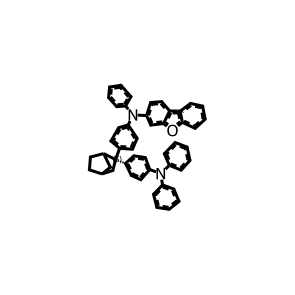 c1ccc(N(c2ccccc2)c2ccc([C@]3(c4ccc(N(c5ccccc5)c5ccc6c(c5)oc5ccccc56)cc4)CC4CCC3C4)cc2)cc1